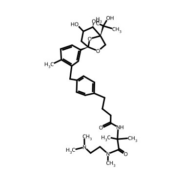 Cc1ccc([C@]23CC(O)[C@H](O)[C@](C(C)(C)O)(CO2)O3)cc1Cc1ccc(CCCC(=O)NC(C)(C)C(=O)N(C)CCN(C)C)cc1